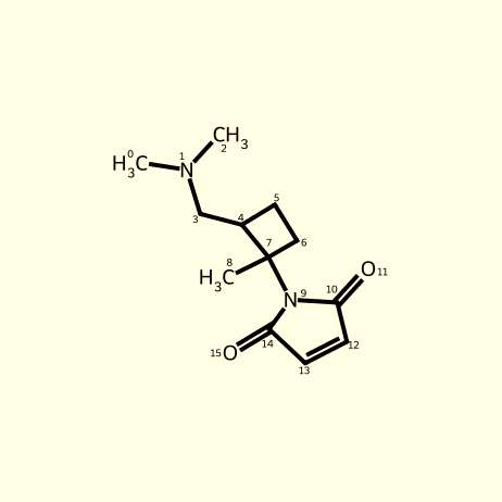 CN(C)CC1CCC1(C)N1C(=O)C=CC1=O